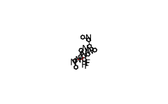 N#Cc1cc(-c2ccc(-n3c4ccccc4c4cc(-c5ccnc(-c6ccccc6)c5)ccc43)c(C#N)c2-n2c3ccccc3c3cc(-c4ccnc(-c5ccccc5)c4)ccc32)cc(C(F)(F)F)c1